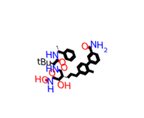 Cc1cc(CCC[C@@H](C(=O)N[C@H](C(=O)N[C@H](C)c2ccccc2)C(C)(C)C)[C@H](O)C(=O)NO)ccc1-c1cccc(C(N)=O)c1